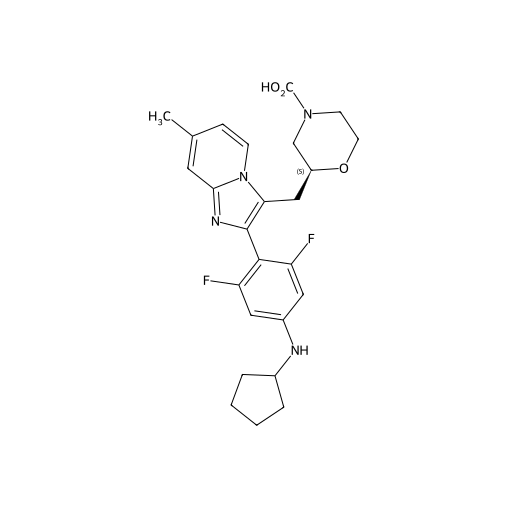 Cc1ccn2c(C[C@H]3CN(C(=O)O)CCO3)c(-c3c(F)cc(NC4CCCC4)cc3F)nc2c1